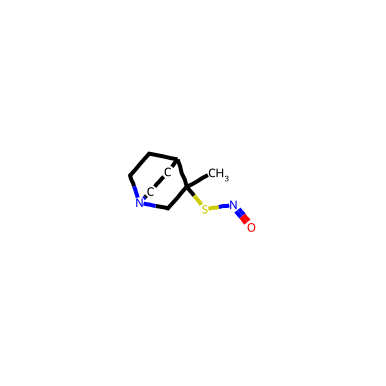 CC1(SN=O)CN2CCC1CC2